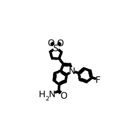 NC(=O)c1ccc2c(C3CCS(=O)(=O)C3)cn(-c3ccc(F)cc3)c2c1